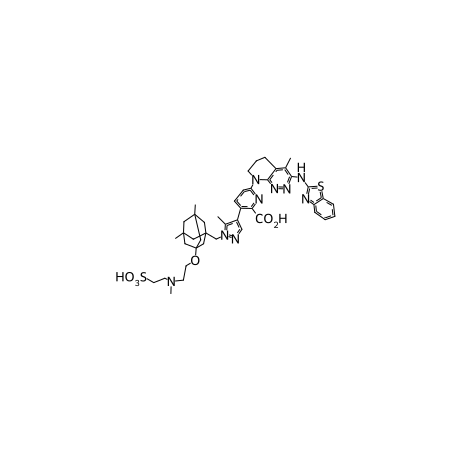 Cc1c(Nc2nc3ccccc3s2)nnc2c1CCCN2c1ccc(-c2cnn(CC34CC5(C)CC(C)(C3)CC(OCCN(C)CCS(=O)(=O)O)(C5)C4)c2C)c(C(=O)O)n1